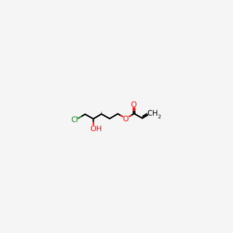 C=CC(=O)OCC[CH]C(O)CCl